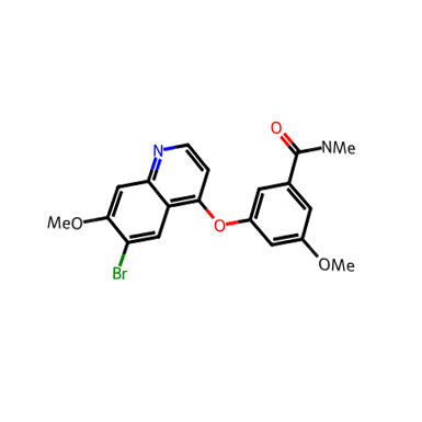 CNC(=O)c1cc(OC)cc(Oc2ccnc3cc(OC)c(Br)cc23)c1